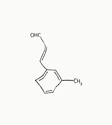 Cc1cccc(C=CC=O)c1